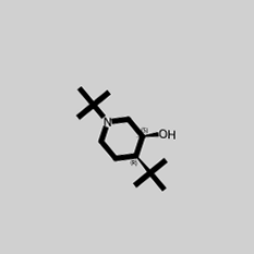 CC(C)(C)[C@H]1CCN(C(C)(C)C)C[C@H]1O